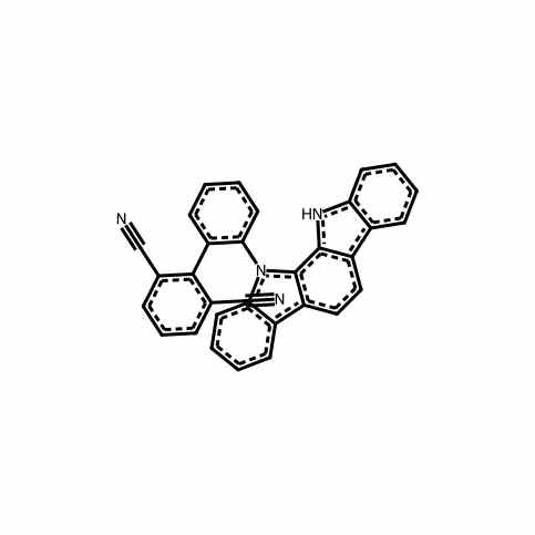 N#Cc1cccc(C#N)c1-c1ccccc1-n1c2ccccc2c2ccc3c4ccccc4[nH]c3c21